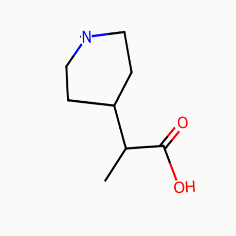 CC(C(=O)O)C1CC[N]CC1